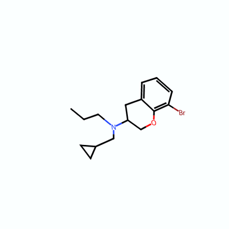 CCCN(CC1CC1)C1COc2c(Br)cccc2C1